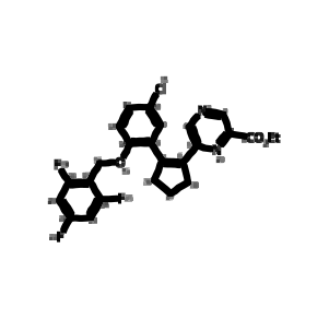 CCOC(=O)c1cncc(C2=C(c3cc(Cl)ccc3OCc3c(F)cc(F)cc3F)CCC2)n1